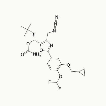 CC(C)(C)C[C@H](OC(N)=O)c1oc(-c2ccc(OC(F)F)c(OCC3CC3)c2)nc1CN=[N+]=[N-]